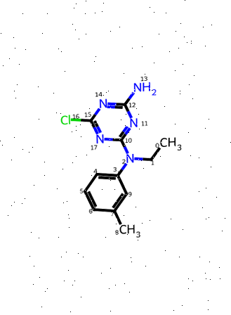 CCN(c1cccc(C)c1)c1nc(N)nc(Cl)n1